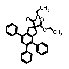 CCOC(=O)C1(C(=O)OCC)Cc2c(-c3ccccc3)cc(-c3ccccc3)c(-c3ccccc3)c2C1